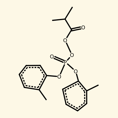 Cc1ccccc1OP(=O)(OOC(=O)C(C)C)Oc1ccccc1C